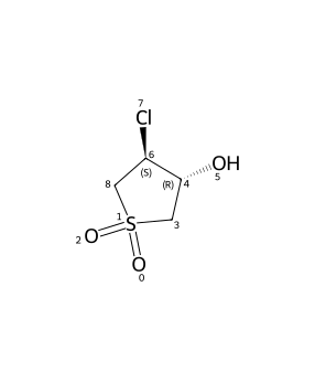 O=S1(=O)C[C@@H](O)[C@H](Cl)C1